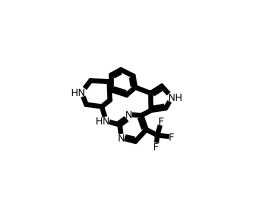 FC(F)(F)c1cnc(NC2CCCNC2)nc1-c1c[nH]cc1-c1ccccc1